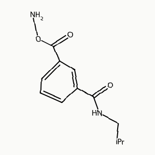 CC(C)CNC(=O)c1cccc(C(=O)ON)c1